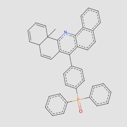 CC12C=CC=CC1C=Cc1c2nc2c(ccc3ccccc32)c1-c1ccc(P(=O)(c2ccccc2)c2ccccc2)cc1